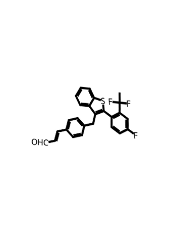 CC(F)(F)c1cc(F)ccc1-c1sc2ccccc2c1Cc1ccc(/C=C/C=O)cc1